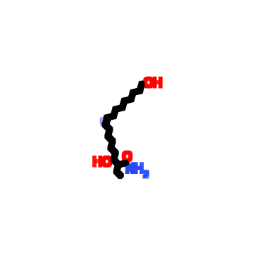 CCC(C(N)=O)C(O)CCCCC/C=C\CCCCCCCCO